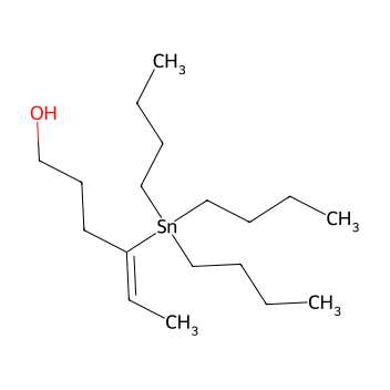 C/C=[C](/CCCO)[Sn]([CH2]CCC)([CH2]CCC)[CH2]CCC